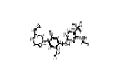 CCNc1nc(Nc2cc(F)c(C3CN(C=O)CCO3)cc2OC)ncc1C(F)(F)F